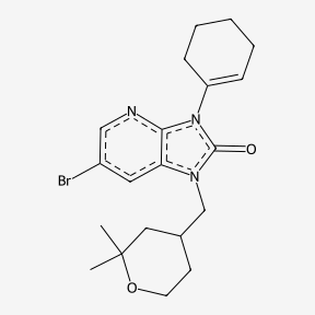 CC1(C)CC(Cn2c(=O)n(C3=CCCCC3)c3ncc(Br)cc32)CCO1